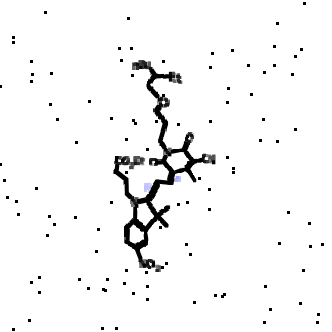 CCCCC(CC)COCCCN1C(=O)C(C#N)=C(C)/C(=C/C=C2/N(CCCC(=O)OCC)c3ccc([N+](=O)[O-])cc3C2(C)C)C1=O